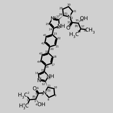 CC(C)[C@@H](O)C(=O)N1CCC[C@H]1c1ncc(-c2ccc(-c3ccc(-c4cnc([C@@H]5CCCN5C(=O)[C@H](O)C(C)C)[nH]4)cc3)cc2)[nH]1